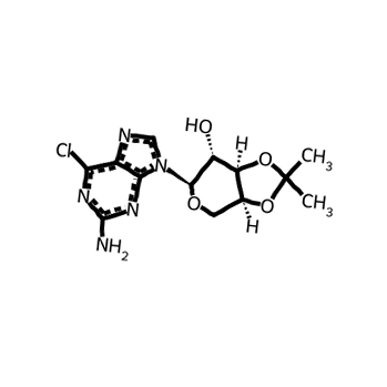 CC1(C)O[C@@H]2[C@@H](O)[C@H](n3cnc4c(Cl)nc(N)nc43)OC[C@@H]2O1